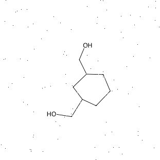 OCC1C[CH]CC(CO)C1